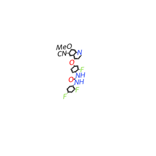 [C-]#[N+]c1cc2c(Oc3ccc(NC(=O)Nc4ccc(F)cc4F)c(F)c3)ccnc2cc1OC